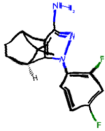 CC1(C)C2CC[C@@H]1c1c2c(N)nn1-c1ccc(F)cc1F